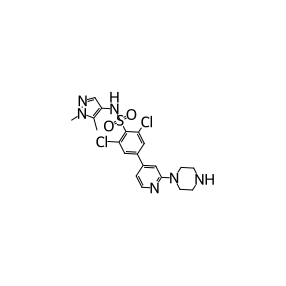 Cc1c(NS(=O)(=O)c2c(Cl)cc(-c3ccnc(N4CCNCC4)c3)cc2Cl)cnn1C